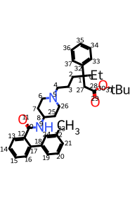 CCC(CCCN1CCC(NC(=O)c2ccccc2-c2cccc(C)c2)CC1)(CC(=O)OC(C)(C)C)c1ccccc1